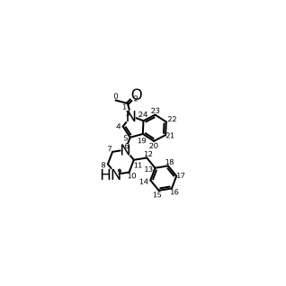 CC(=O)n1cc(N2CCNCC2Cc2ccccc2)c2ccccc21